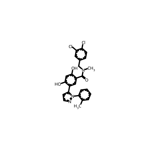 Cc1ccccc1-n1nccc1-c1cc(C(=O)N(C)Cc2ccc(Cl)c(Cl)c2)c(O)cc1O